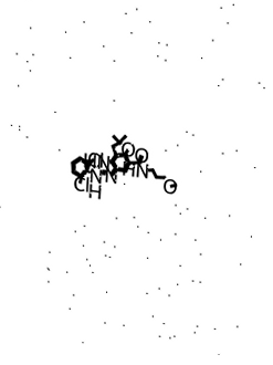 COCCCNC(=O)c1cc2nc(Nc3c(Cl)cccc3Cl)[nH]c2c2c1OC(C)(C)C2